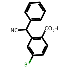 N#CC(c1ccccc1)c1cc(Br)ccc1C(=O)O